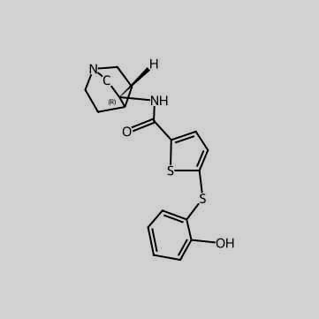 O=C(N[C@H]1CN2CCC1CC2)c1ccc(Sc2ccccc2O)s1